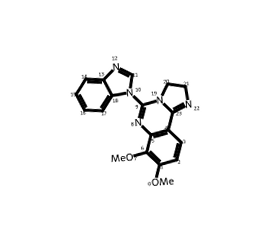 COc1ccc2c(c1OC)N=C(n1cnc3ccccc31)N1CCN=C21